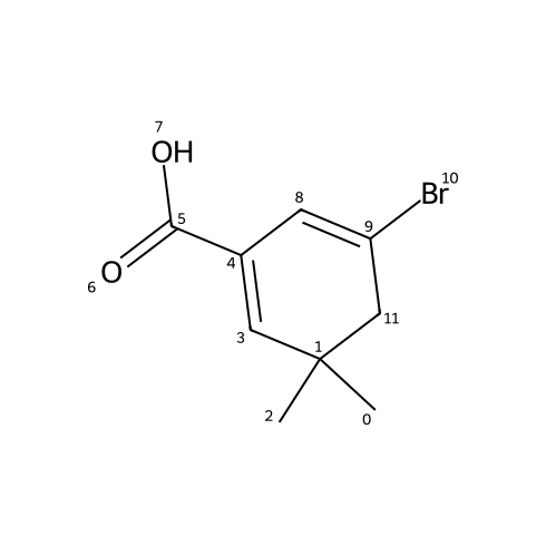 CC1(C)C=C(C(=O)O)C=C(Br)C1